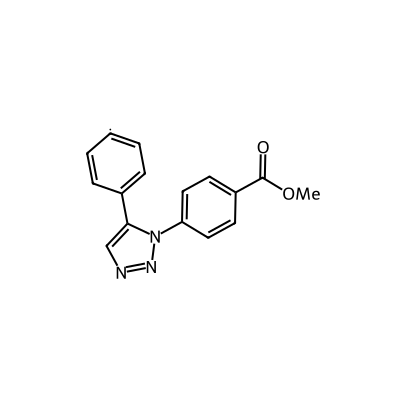 COC(=O)c1ccc(-n2nncc2-c2cc[c]cc2)cc1